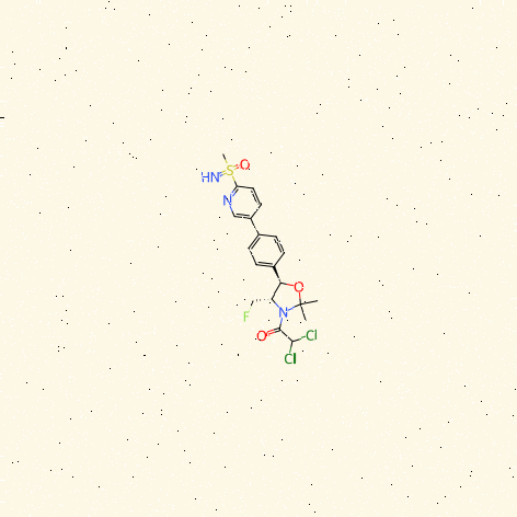 CC1(C)O[C@H](c2ccc(-c3ccc(S(C)(=N)=O)nc3)cc2)[C@@H](CF)N1C(=O)C(Cl)Cl